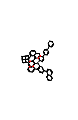 c1ccc(-c2ccc(-c3ccc(N(c4cc(-c5cccc6ccccc56)ccc4-c4ccccc4)c4ccccc4-c4cccc5cccc(C67CC8CC9CC(C6)C987)c45)cc3)cc2)cc1